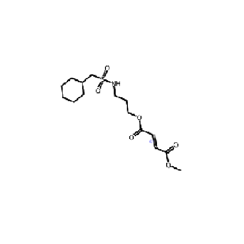 COC(=O)/C=C/C(=O)OCCCNS(=O)(=O)CC1CCCCC1